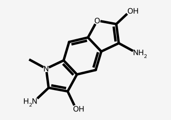 Cn1c(N)c(O)c2cc3c(N)c(O)oc3cc21